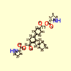 O=C(COC(=O)[C@@H]1CCCN1)c1ccc(-c2ccc(C(=O)COC(=O)[C@@H]3CCCN3)c3c2CC2(CCCCC2)C3)cc1